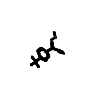 CON=C(C#N)c1ccc(C(C)(C)C)cc1